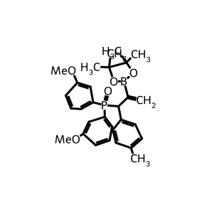 C=C(B1OC(C)(C)C(C)(C)O1)C(c1ccc(C)cc1)P(=O)(c1cccc(OC)c1)c1cccc(OC)c1